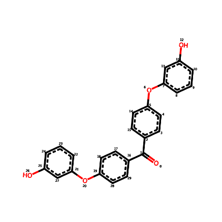 O=C(c1ccc(Oc2cccc(O)c2)cc1)c1ccc(Oc2cccc(O)c2)cc1